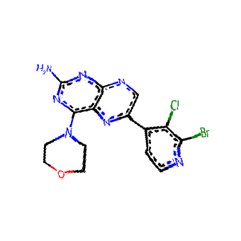 Nc1nc(N2CCOCC2)c2nc(-c3ccnc(Br)c3Cl)cnc2n1